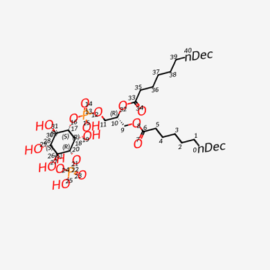 CCCCCCCCCCCCCCCC(=O)OC[C@H](COP(=O)(O)O[C@@H]1[C@H](O)[C@H](OP(=O)(O)O)[C@@H](O)[C@H](O)[C@H]1O)OC(=O)CCCCCCCCCCCCCCC